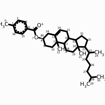 Cc1ccc(C(=O)O[C@@H]2CCC3(C)C(=CCC4C3CCC3(C)C(C(C)CCCC(C)C)CCC43)C2)cc1